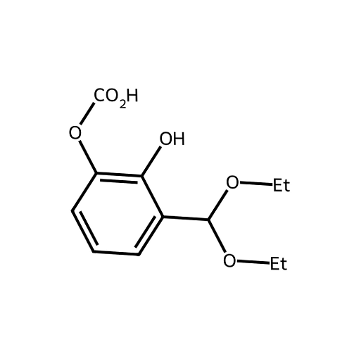 CCOC(OCC)c1cccc(OC(=O)O)c1O